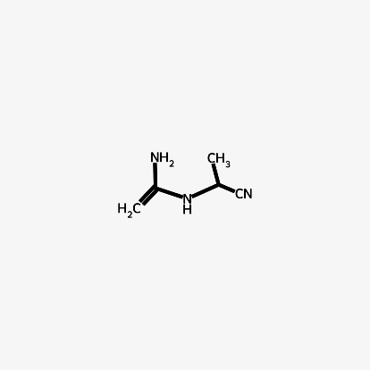 C=C(N)NC(C)C#N